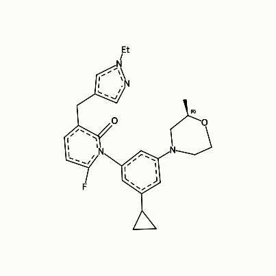 CCn1cc(Cc2ccc(F)n(-c3cc(C4CC4)cc(N4CCO[C@H](C)C4)c3)c2=O)cn1